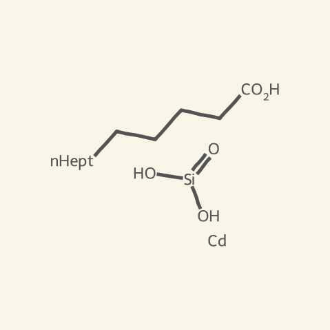 CCCCCCCCCCCC(=O)O.O=[Si](O)O.[Cd]